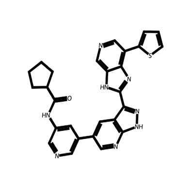 O=C(Nc1cncc(-c2cnc3[nH]nc(-c4nc5c(-c6cccs6)cncc5[nH]4)c3c2)c1)C1CCCC1